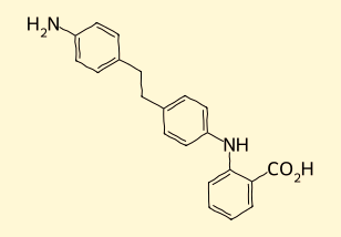 Nc1ccc(CCc2ccc(Nc3ccccc3C(=O)O)cc2)cc1